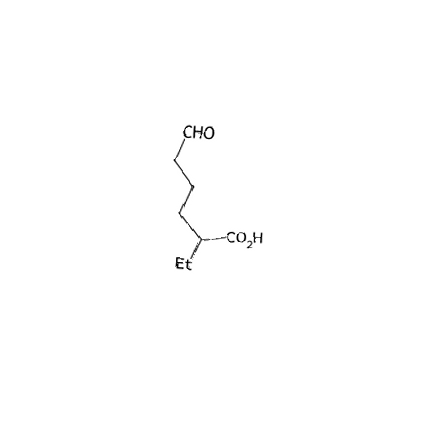 CCC(CCCC=O)C(=O)O